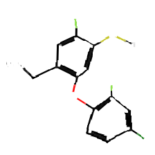 CNCc1cc(F)c(SC(C)C)cc1Oc1ccc(Cl)cc1F